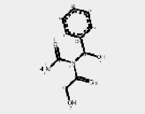 NC(=O)N(C(=O)CO)C(O)c1ccccc1